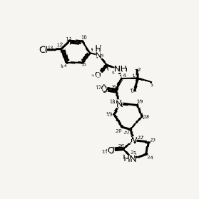 CC(C)(C)[C@@H](NC(=O)Nc1ccc(Cl)cc1)C(=O)N1CCC(N2CCNC2=O)CC1